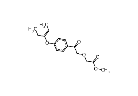 CC=C(CC)Oc1ccc(C(=O)COCC(=O)OC)cc1